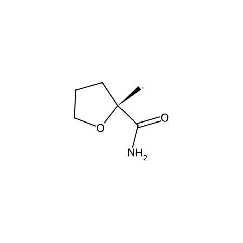 [CH2][C@]1(C(N)=O)CCCO1